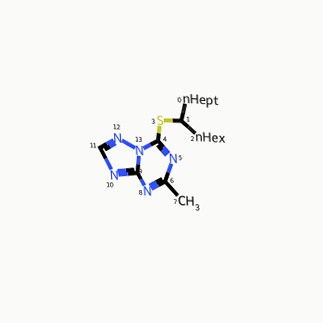 CCCCCCCC(CCCCCC)Sc1nc(C)nc2ncnn12